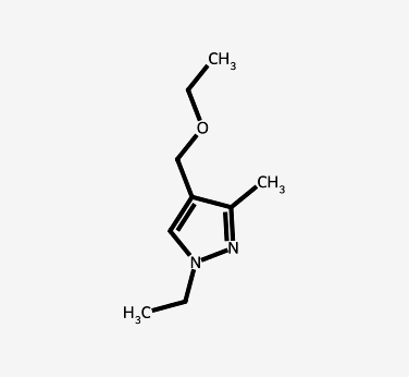 CCOCc1cn(CC)nc1C